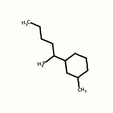 CCCCC(P)C1CCCC(C)C1